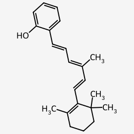 CC(C=CC1=C(C)CCCC1(C)C)=C/C=C/c1ccccc1O